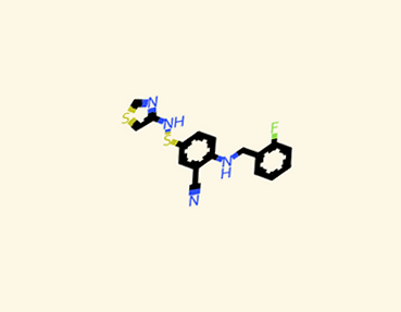 N#Cc1cc(SNc2cscn2)ccc1NCc1ccccc1F